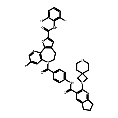 O=C(Nc1c(Cl)cccc1Cl)c1cc2c(o1)-c1ncc(F)cc1N(C(=O)c1ccc(NC(=O)c3cc4c(nc3N3CC5(CCOCC5)C3)CCC4)cc1)CC2